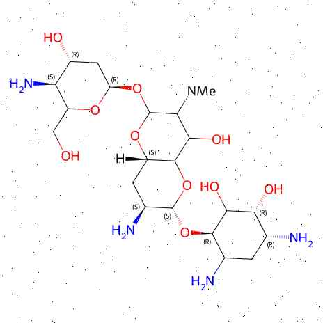 CNC1C(O[C@@H]2C[C@@H](O)[C@H](N)C(CO)O2)O[C@H]2C[C@H](N)[C@@H](O[C@@H]3C(N)C[C@@H](N)[C@@H](O)C3O)OC2C1O